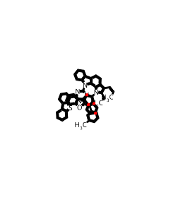 C=Cc1c(/C=C\C)c2ccc3c4ccccc4n(-c4nc(-c5ccccc5)nc(-c5cccc6c5sc5ccccc56)n4)c3c2n1-c1cc(-c2cccc(C)c2)c2oc3ccccc3c2c1